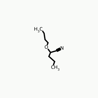 CCCCOC(C#N)CCC